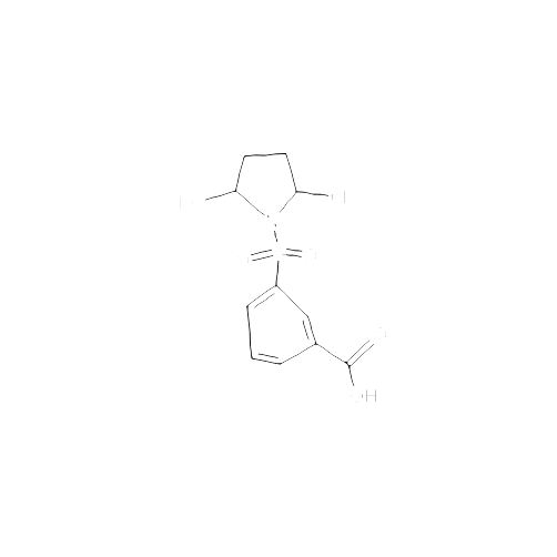 CC1CCC(C)N1S(=O)(=O)c1cccc(C(=O)O)c1